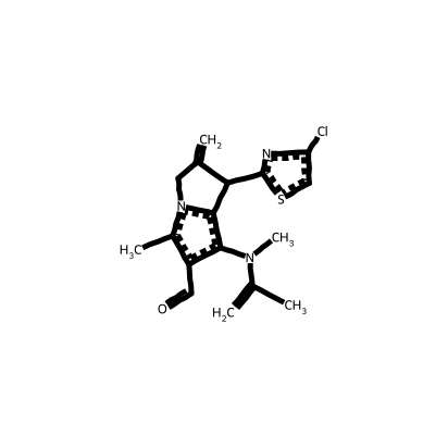 C=C1Cn2c(C)c(C=O)c(N(C)C(=C)C)c2C1c1nc(Cl)cs1